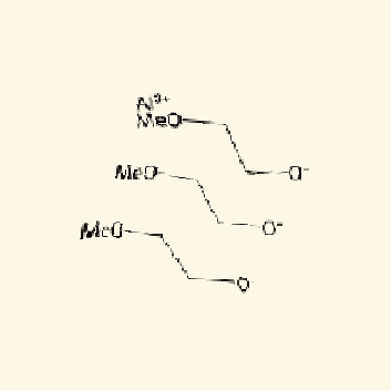 COCC[O-].COCC[O-].COCC[O-].[Al+3]